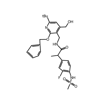 CC(C(=O)NCc1c(CO)cc(C(C)(C)C)nc1OCc1ccccc1)c1ccc(NS(C)(=O)=O)c(F)c1